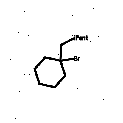 CCCC(C)CC1(Br)CCCCC1